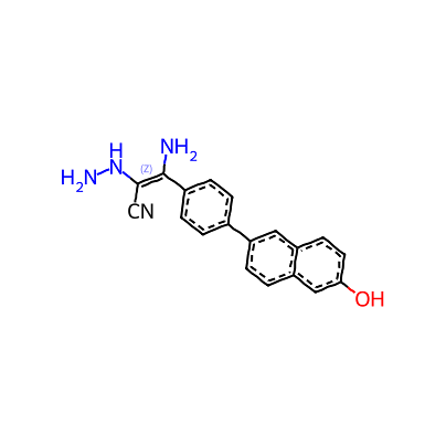 N#C/C(NN)=C(/N)c1ccc(-c2ccc3cc(O)ccc3c2)cc1